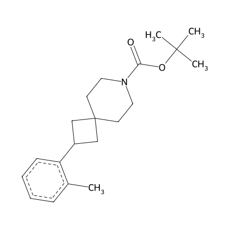 Cc1ccccc1C1CC2(CCN(C(=O)OC(C)(C)C)CC2)C1